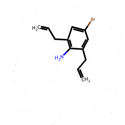 C=CCc1cc(Br)cc(CC=C)c1N